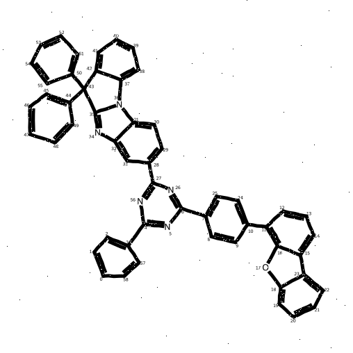 c1ccc(-c2nc(-c3ccc(-c4cccc5c4oc4ccccc45)cc3)nc(-c3ccc4c(c3)nc3n4-c4ccccc4C3(c3ccccc3)c3ccccc3)n2)cc1